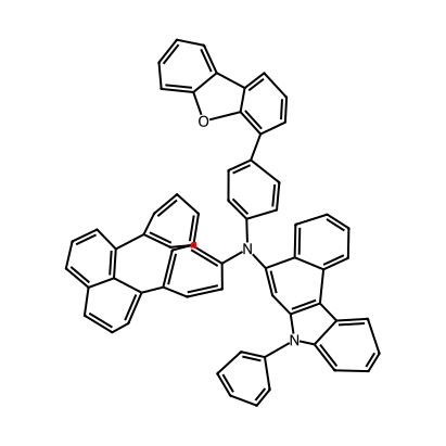 c1ccc(-c2cccc3cccc(-c4ccc(N(c5ccc(-c6cccc7c6oc6ccccc67)cc5)c5cc6c(c7ccccc57)c5ccccc5n6-c5ccccc5)cc4)c23)cc1